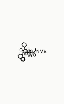 CNC(C)C(=O)NC(C(=O)NC(C(=O)NC1CCCc2ccccc21)C1CCCCC1)C(C)C